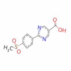 CS(=O)(=O)c1ccc(-c2ncc(C(=O)O)cn2)cc1